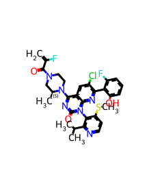 C=C(F)C(=O)N1CCN(c2nc(=O)n(-c3c(SC)ccnc3C(C)C)c3nc(-c4c(O)cccc4F)c(Cl)cc23)[C@@H](C)C1